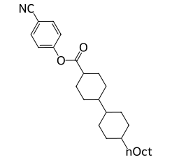 CCCCCCCCC1CCC(C2CCC(C(=O)Oc3ccc(C#N)cc3)CC2)CC1